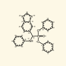 O=P(Oc1ccccc1)(Oc1ccccc1)C(Nc1ccccc1)c1ccc2ncnn2c1